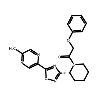 Cc1cnc(-c2nc([C@H]3CCCCN3C(=O)COc3ccccc3)no2)cn1